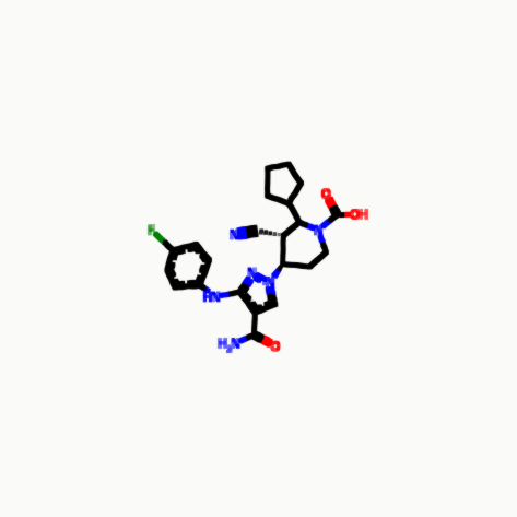 N#C[C@@H]1C(C2CCCC2)N(C(=O)O)CC[C@H]1n1cc(C(N)=O)c(Nc2ccc(F)cc2)n1